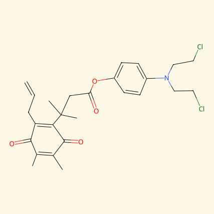 C=CCC1=C(C(C)(C)CC(=O)Oc2ccc(N(CCCl)CCCl)cc2)C(=O)C(C)=C(C)C1=O